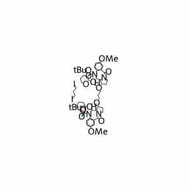 COc1ccc2c(c1)C(=O)N1CCC(OCCCOC3CCN4C(=O)c5cc(OC)ccc5N(C(=O)OC(C)(C)C)[C@@H](OC5CCCCO5)[C@H]34)[C@H]1[C@H](OC1CCCCO1)N2C(=O)OC(C)(C)C.ICCCI